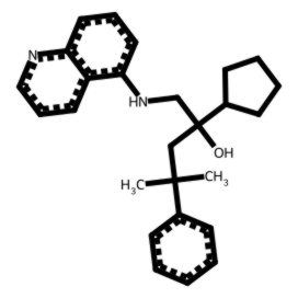 CC(C)(CC(O)(CNc1cccc2ncccc12)C1CCCC1)c1ccccc1